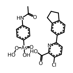 CC(=O)Nc1ccc([As](=O)(O)OO)cc1.O=C(O)c1nc(-c2ccc3c(c2)CCC3)ccc1Cl